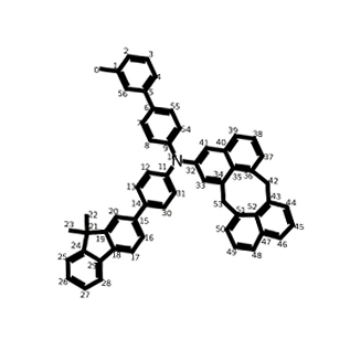 Cc1cccc(-c2ccc(N(c3ccc(-c4ccc5c(c4)C(C)(C)c4ccccc4-5)cc3)c3cc4c5c(cccc5c3)Cc3cccc5cccc(c35)C4)cc2)c1